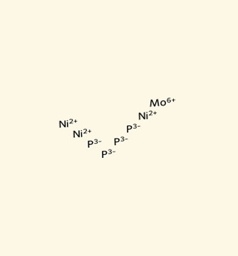 [Mo+6].[Ni+2].[Ni+2].[Ni+2].[P-3].[P-3].[P-3].[P-3]